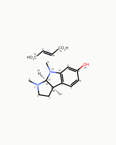 CN1CC[C@]2(C)c3ccc(O)cc3N(C)[C@H]12.O=C(O)/C=C/C(=O)O